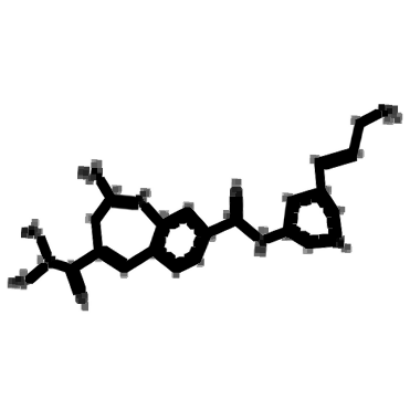 CCCN(CCC)C(=O)C1=Cc2ccc(C(=O)Nc3cncc(C=CCN)c3)cc2N=C(N)C1